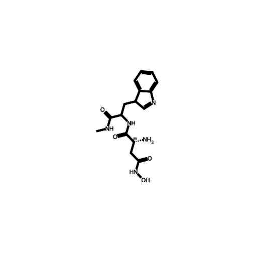 CNC(=O)C(CC1C=Nc2ccccc21)NC(=O)[C@H](N)CC(=O)NO